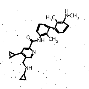 CNc1cccc(-c2cccc(NC(=O)c3cc(C4CC4)c(CNC4CC4)cn3)c2C)c1C